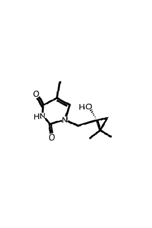 Cc1cn(C[C@@]2(O)CC2(C)C)c(=O)[nH]c1=O